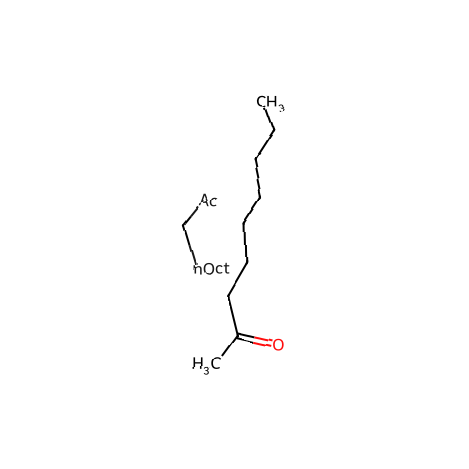 CCCCCCCC(C)=O.CCCCCCCCCC(C)=O